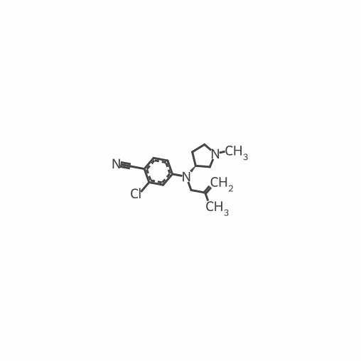 C=C(C)CN(c1ccc(C#N)c(Cl)c1)[C@H]1CCN(C)C1